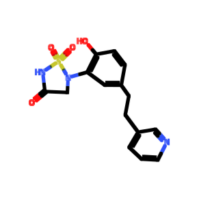 O=C1CN(c2cc(CCc3cccnc3)ccc2O)S(=O)(=O)N1